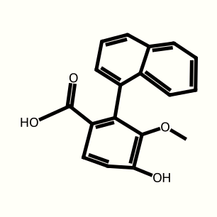 COc1c(O)ccc(C(=O)O)c1-c1cccc2ccccc12